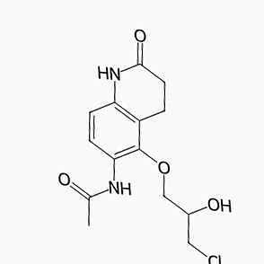 CC(=O)Nc1ccc2c(c1OCC(O)CCl)CCC(=O)N2